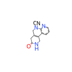 N#CN1CC2=C(CNC(=O)C2)c2cccnc21